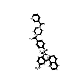 CC(c1cccnc1)N1CCN(C(=O)c2ccc(NS(=O)(=O)c3ccc(N)cc3-c3cccc4cccnc34)cc2)CC1